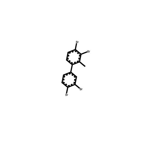 Cc1c(-c2ccc(Br)c(Br)c2)ccc(Br)c1Br